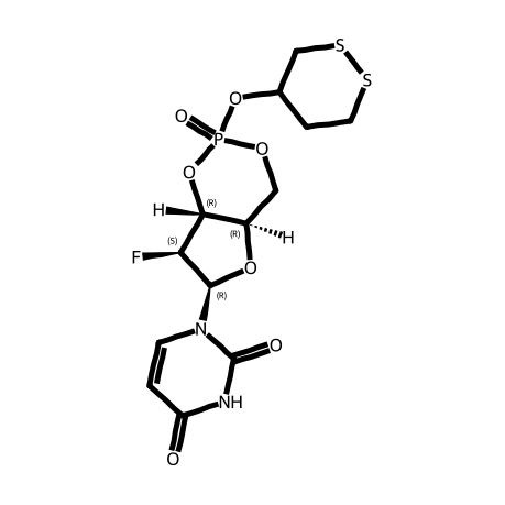 O=c1ccn([C@@H]2O[C@@H]3COP(=O)(OC4CCSSC4)O[C@H]3[C@@H]2F)c(=O)[nH]1